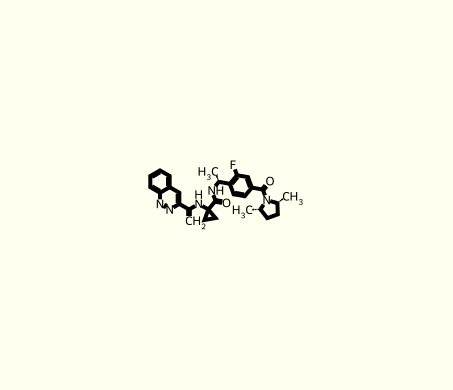 C=C(NC1(C(=O)N[C@H](C)c2ccc(C(=O)N3[C@H](C)CC[C@@H]3C)cc2F)CC1)c1cc2ccccc2nn1